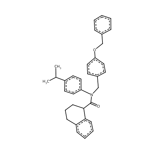 CC(C)c1ccc(N(Cc2ccc(OCc3ccccc3)cc2)C(=O)C2CCCc3ccccc32)cc1